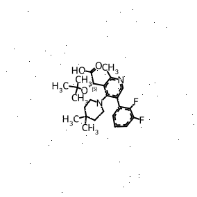 Cc1ncc(-c2cccc(F)c2F)c(N2CCC(C)(C)CC2)c1[C@H](OC(C)(C)C)C(=O)O